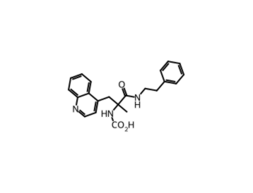 CC(Cc1ccnc2ccccc12)(NC(=O)O)C(=O)NCCc1ccccc1